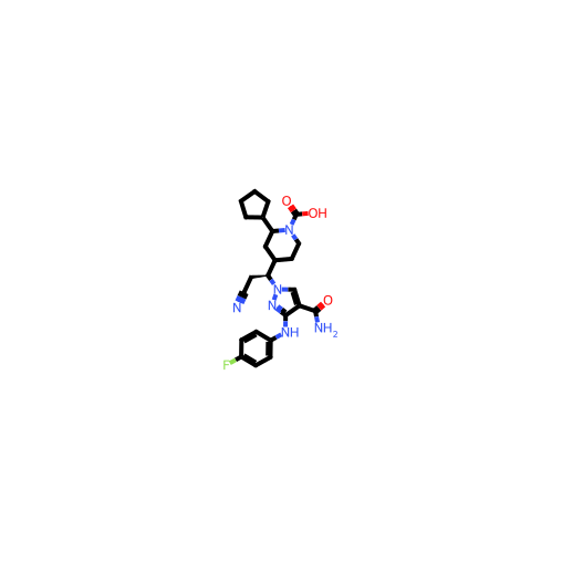 N#CC[C@@H](C1CCN(C(=O)O)C(C2CCCC2)C1)n1cc(C(N)=O)c(Nc2ccc(F)cc2)n1